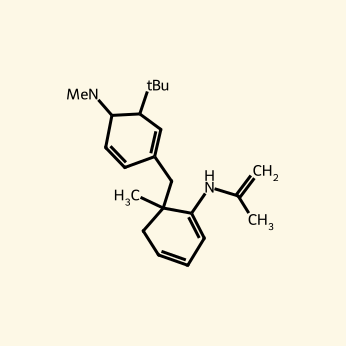 C=C(C)NC1=CC=CCC1(C)CC1=CC(C(C)(C)C)C(NC)C=C1